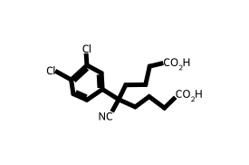 N#CC(CCCC(=O)O)(CCCC(=O)O)c1ccc(Cl)c(Cl)c1